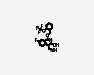 N=Cc1c(O)nc(OCc2ccccc2OC(F)(F)F)c2cc(F)ccc12